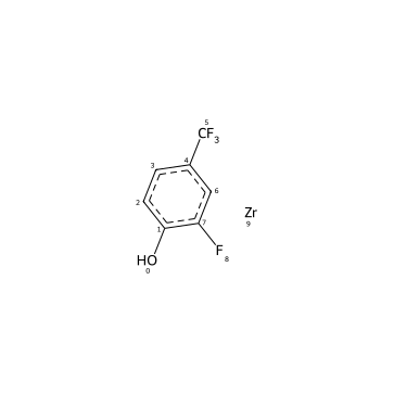 Oc1ccc(C(F)(F)F)cc1F.[Zr]